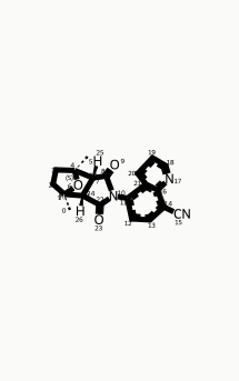 C[C@]12CC[C@](C)(O1)[C@@H]1C(=O)N(c3ccc(C#N)c4ncccc34)C(=O)[C@@H]12